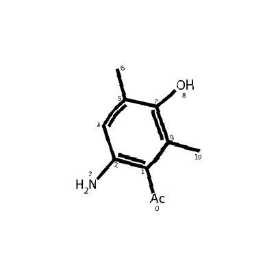 CC(=O)c1c(N)cc(C)c(O)c1C